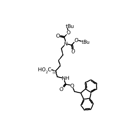 CC(C)(C)OC(=O)N(CCCC[C@@H](CNC(=O)OCC1c2ccccc2-c2ccccc21)C(=O)O)C(=O)OC(C)(C)C